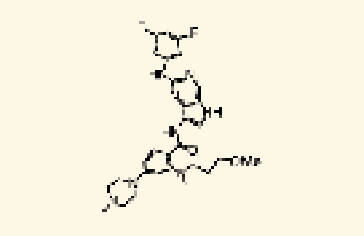 COCCCN(C)c1cc(N2CCN(C)CC2)ccc1C(=O)Nc1c[nH]c2cnc(Nc3cc(F)cc(F)c3)nc12